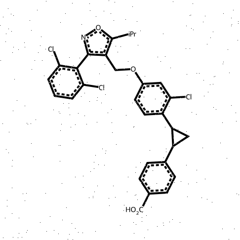 CC(C)c1onc(-c2c(Cl)cccc2Cl)c1COc1ccc(C2CC2c2ccc(C(=O)O)cc2)c(Cl)c1